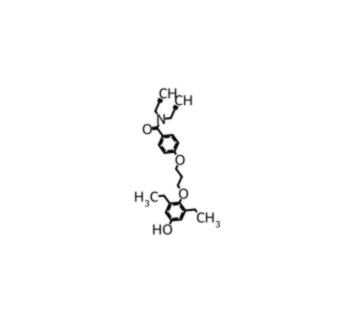 C#CCN(CC#C)C(=O)c1ccc(OCCCOc2c(CC)cc(O)cc2CC)cc1